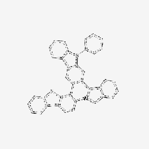 c1ccc(-n2c3ccccc3c3cc4c(cc32)c2c3ccccc3cn2c2ccc3c5ccccc5sc3c42)cc1